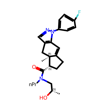 CCCN(C[C@H](C)O)C(=O)[C@H]1CCC2=Cc3c(cnn3-c3ccc(F)cc3)C[C@@]21C